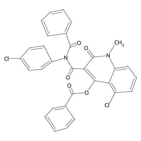 Cn1c(=O)c(C(=O)N(C(=O)c2ccccc2)c2ccc(Cl)cc2)c(OC(=O)c2ccccc2)c2c(Cl)cccc21